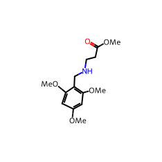 COC(=O)CCNCc1c(OC)cc(OC)cc1OC